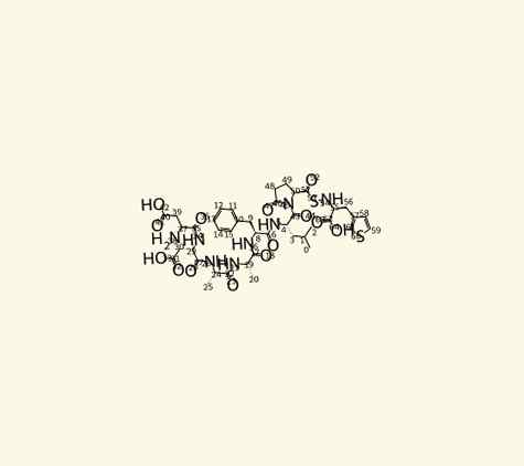 CC(C)C[C@H](NC(=O)[C@H](Cc1ccccc1)NC(=O)[C@H](C)NC(=O)[C@H](C)NC(=O)[C@H](CC(=O)O)NC(=O)[C@@H](N)CC(=O)O)C(=O)N1C(=O)CC[C@H]1C(=O)SN[C@@H](Cc1ccsc1)C(=O)O